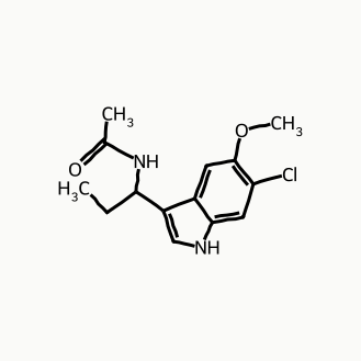 CCC(NC(C)=O)c1c[nH]c2cc(Cl)c(OC)cc12